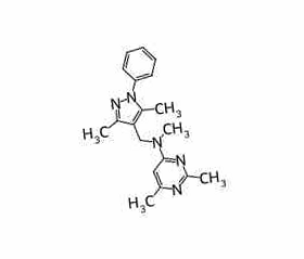 Cc1cc(N(C)Cc2c(C)nn(-c3ccccc3)c2C)nc(C)n1